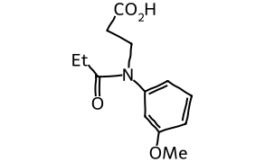 CCC(=O)N(CCC(=O)O)c1cccc(OC)c1